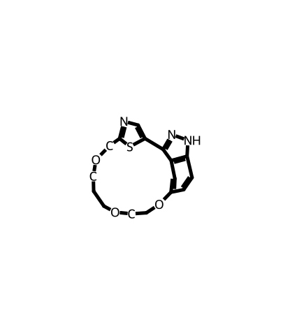 c1cc2[nH]nc3c2cc1OCCOCCCOCc1ncc-3s1